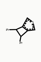 CC(C)C1c2cscc2C1C(C)C